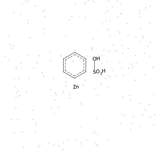 O=S(=O)(O)O.[Zn].c1ccccc1